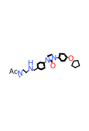 CC(=O)N(C)CCNCc1ccc(-n2ccn(-c3ccc(OC4CCCC4)cc3)c2=O)cc1